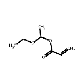 C=CC(=O)OC(C)SCC